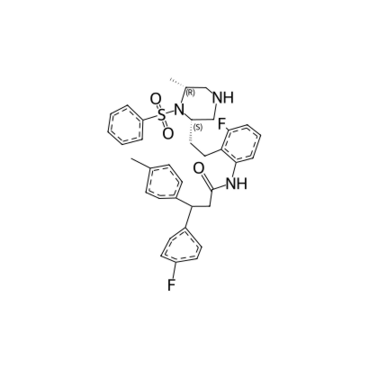 Cc1ccc(C(CC(=O)Nc2cccc(F)c2CC[C@H]2CNC[C@@H](C)N2S(=O)(=O)c2ccccc2)c2ccc(F)cc2)cc1